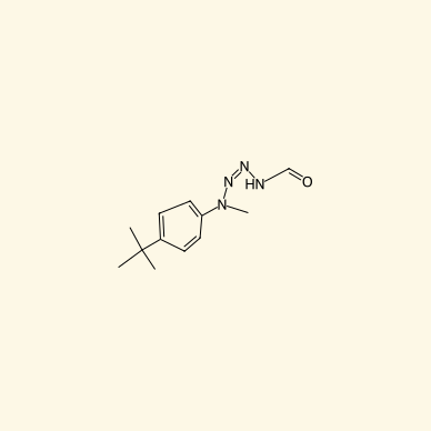 CN(/N=N\NC=O)c1ccc(C(C)(C)C)cc1